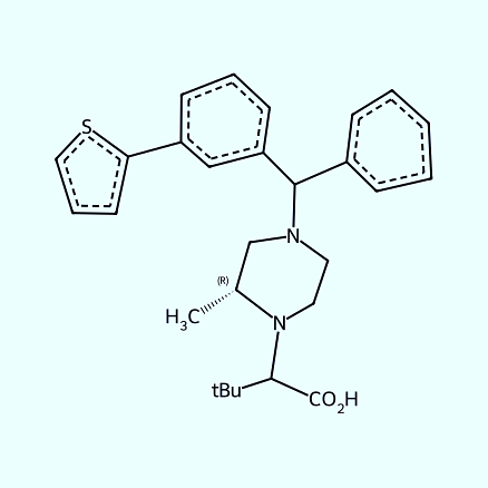 C[C@@H]1CN(C(c2ccccc2)c2cccc(-c3cccs3)c2)CCN1C(C(=O)O)C(C)(C)C